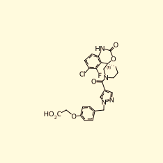 O=C(O)COc1ccc(Cn2cc(C(=O)N3CCC[C@@]4(C3)OC(=O)Nc3ccc(Cl)c(F)c34)cn2)cc1